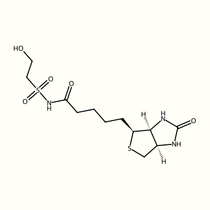 O=C(CCCC[C@@H]1SC[C@@H]2NC(=O)N[C@@H]21)NS(=O)(=O)CCO